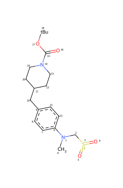 CN(C[SH](=O)=O)c1ccc(CC2CCN(C(=O)OC(C)(C)C)CC2)cc1